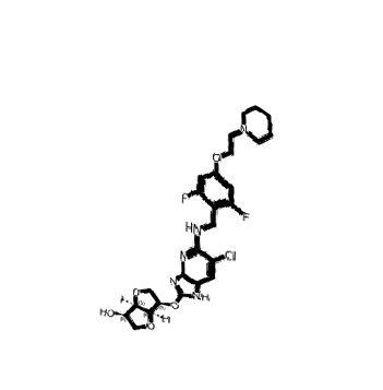 O[C@@H]1CO[C@@H]2[C@H](Oc3nc4nc(NCc5c(F)cc(OCCN6CCCCC6)cc5F)c(Cl)cc4[nH]3)CO[C@]12I